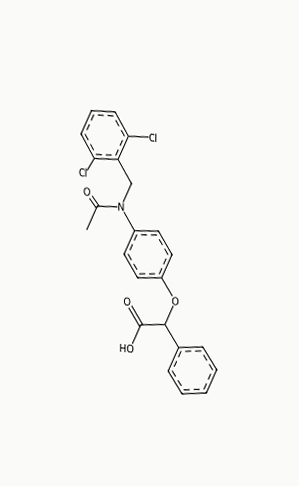 CC(=O)N(Cc1c(Cl)cccc1Cl)c1ccc(OC(C(=O)O)c2ccccc2)cc1